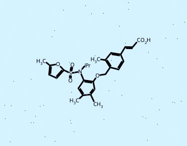 Cc1ccc(S(=O)(=O)N(c2cc(C)c(C)cc2OCc2ccc(/C=C/C(=O)O)cc2C)C(C)C)o1